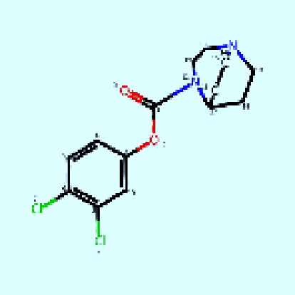 O=C(Oc1ccc(Cl)c(Cl)c1)N1CCN2CCC1CC2